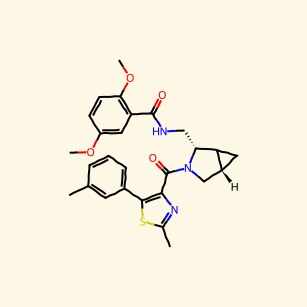 COc1ccc(OC)c(C(=O)NC[C@@H]2C3C[C@@H]3CN2C(=O)c2nc(C)sc2-c2cccc(C)c2)c1